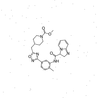 COC(=O)N1CCC(Cc2nc(-c3ccc(C)c(NC(=O)C4CN=C5C=CC=CN54)c3)no2)CC1